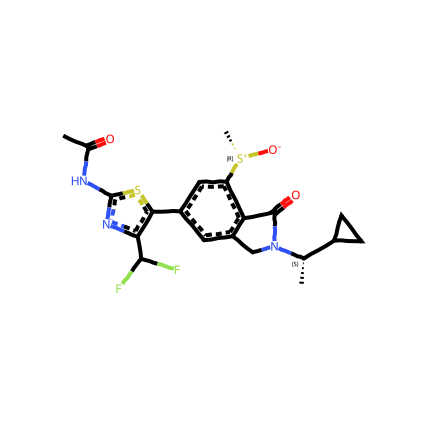 CC(=O)Nc1nc(C(F)F)c(-c2cc3c(c([S@+](C)[O-])c2)C(=O)N([C@@H](C)C2CC2)C3)s1